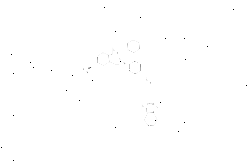 N#Cc1ccc2c(c1)=CN(c1ccc(CN3CCC(c4nc5ccccc5[nH]4)CC3)cc1)C(c1ccccc1)N=2